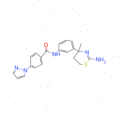 CC1(c2cccc(NC(=O)c3ccc(-n4cccn4)cc3)c2)CCSC(N)=N1